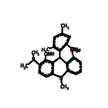 COc1cccc2c1C(c1c(C)cc(C)cc1C)c1c(ccc(N(C)C)c1OC)N2C